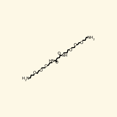 NCCCOCCOCCOCCCNC(=O)CCC(=O)NCCCOCCOCCOCCCN